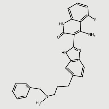 CN(CCCc1ccc2nc(-c3c(N)c4c(F)cccc4[nH]c3=O)[nH]c2c1)Cc1ccccc1